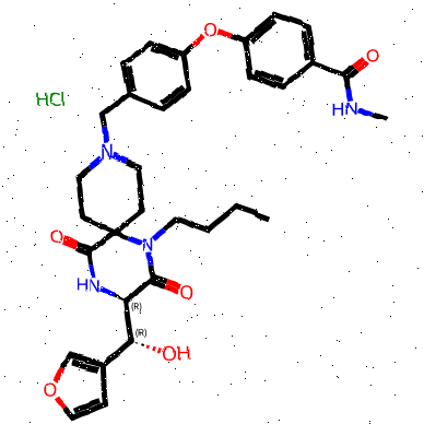 CCCCN1C(=O)[C@@H]([C@H](O)c2ccoc2)NC(=O)C12CCN(Cc1ccc(Oc3ccc(C(=O)NC)cc3)cc1)CC2.Cl